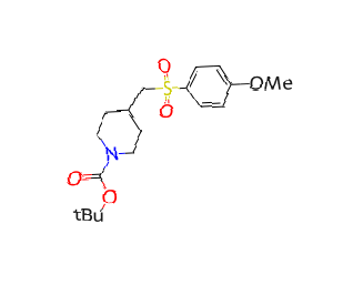 COc1ccc(S(=O)(=O)CC2CCN(C(=O)OC(C)(C)C)CC2)cc1